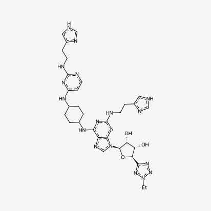 CCn1nnc([C@H]2O[C@@H](n3cnc4c(NC5CCC(Nc6ccnc(NCCc7c[nH]cn7)n6)CC5)nc(NCCc5c[nH]cn5)nc43)[C@H](O)[C@@H]2O)n1